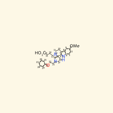 COc1ccc2[nH]c3c(c2c1)CCN(CCCC(=O)O)C31CCN(CCOc2ccccc2)C1